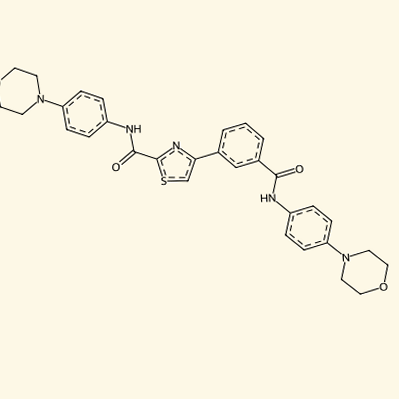 O=C(Nc1ccc(N2CCOCC2)cc1)c1cccc(-c2csc(C(=O)Nc3ccc(N4CCOCC4)cc3)n2)c1